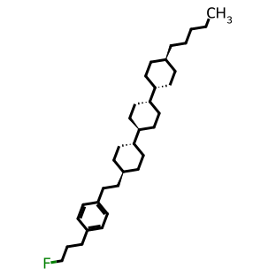 CCCCC[C@H]1CC[C@H]([C@H]2CC[C@H]([C@H]3CC[C@H](CCc4ccc(CCCF)cc4)CC3)CC2)CC1